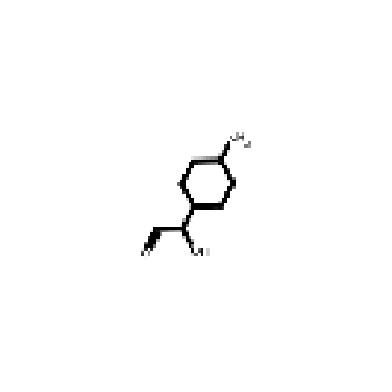 NC1CCC(C(O)C=O)CC1